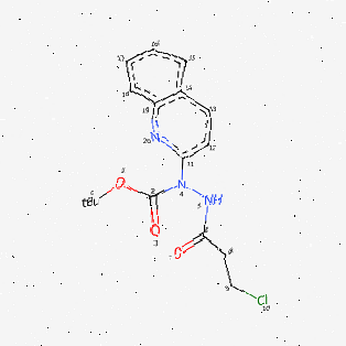 CC(C)(C)OC(=O)N(NC(=O)CCCl)c1ccc2ccccc2n1